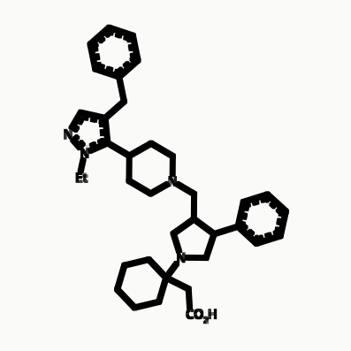 CCn1ncc(Cc2ccccc2)c1C1CCN(CC2CN(C3(CC(=O)O)CCCCC3)CC2c2ccccc2)CC1